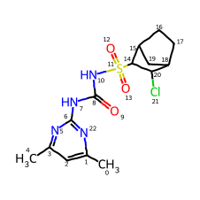 Cc1cc(C)nc(NC(=O)NS(=O)(=O)C2C3CCC(C3)C2Cl)n1